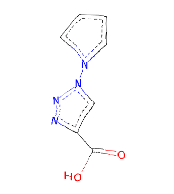 O=C(O)c1cn(-n2cccc2)nn1